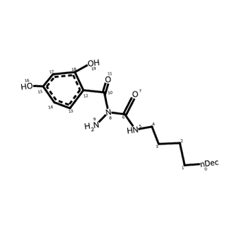 CCCCCCCCCCCCCCNC(=O)N(N)C(=O)c1ccc(O)cc1O